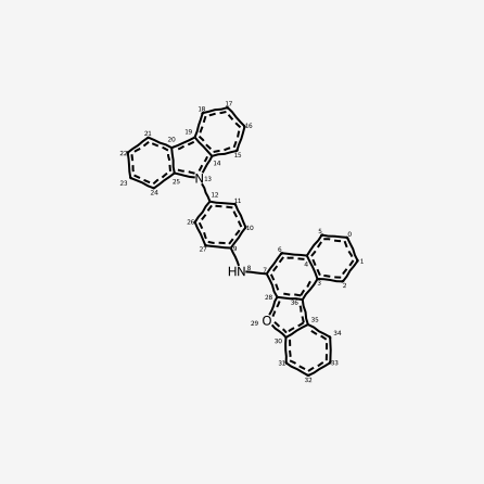 c1ccc2c(c1)cc(Nc1ccc(-n3c4ccccc4c4ccccc43)cc1)c1oc3ccccc3c12